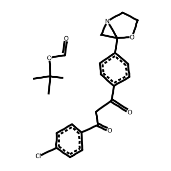 CC(C)(C)OC=O.O=C(CC(=O)c1ccc(C23CN2CCO3)cc1)c1ccc(Cl)cc1